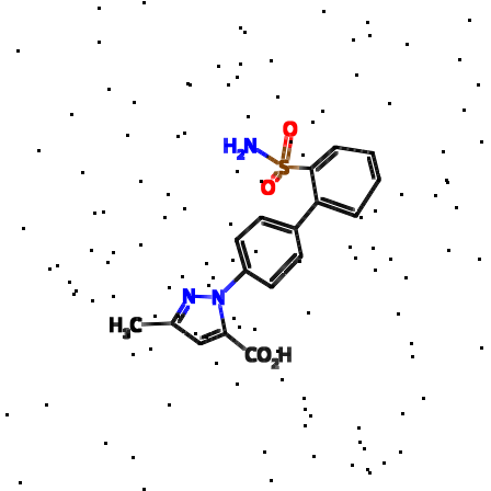 Cc1cc(C(=O)O)n(-c2ccc(-c3ccccc3S(N)(=O)=O)cc2)n1